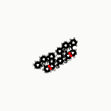 c1ccc(-n2c3ccccc3c3ccc4c5cccc6c5n(c4c32)-c2cccc3c2B6c2cc4c(cc2S3)Sc2cccc3c2B4c2cccc4c5ccc6c7ccccc7n(-c7ccccc7)c6c5n-3c24)cc1